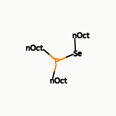 CCCCCCCC[Se]P(CCCCCCCC)CCCCCCCC